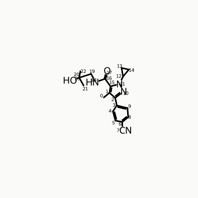 Cc1c(-c2ccc(C#N)cc2)nn(C2CC2)c1C(=O)NCC(C)(C)O